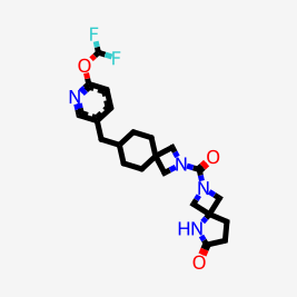 O=C1CCC2(CN(C(=O)N3CC4(CCC(Cc5ccc(OC(F)F)nc5)CC4)C3)C2)N1